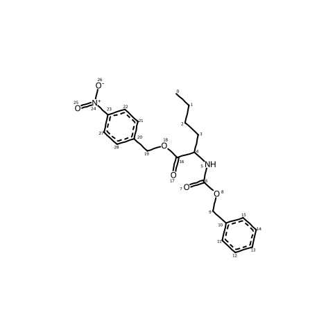 CCCCC(NC(=O)OCc1ccccc1)C(=O)OCc1ccc([N+](=O)[O-])cc1